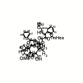 CCCCCCC(=O)O[C@@H](C(=O)O[C@H]1C[C@@]2(O)[C@@H](OC(=O)c3ccccc3)[C@@H]3[C@]4(OC(C)=O)CO[C@@H]4C[C@H](OC)[C@@]3(C)C(=O)[C@H](CO)C(=C1C)C2(C)C)[C@@H](NCOC(C)(C)C)c1ccccc1